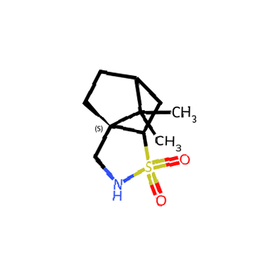 CC1(C)C2CC[C@@]13CNS(=O)(=O)C3C2